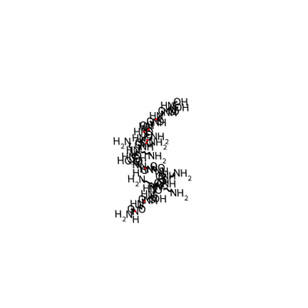 NCCCC[C@H](NC(=O)[C@H](CO)NC(=O)CNC(=O)CNC(=O)CNC(=O)CN)C(=O)N[C@@H](CCCCN)C(=O)N[C@@H](CCCCN)C(=O)N[C@@H](CO)C(=O)NCC(=O)NCC(=O)NCC(=O)N[C@@H](CO)C(=O)N[C@@H](CCCCN)C(=O)N[C@@H](CCCCN)C(=O)N[C@@H](CCCCN)C(=O)N[C@@H](CCCCN)C(=O)N[C@@H](CO)C(=O)NCC(=O)NCC(=O)NCC(=O)NCC(=O)N[C@@H](CO)C(=O)O